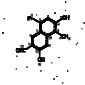 Cc1c(O)cc(C(C)C)c2cc(C=O)c(O)cc12